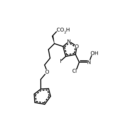 O=C(O)C[C@H](CCCOCc1ccccc1)c1noc(/C(Cl)=N\O)c1I